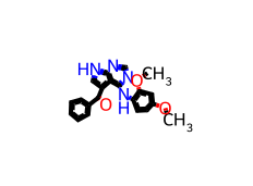 COc1ccc(Nc2ncnc3[nH]cc(C(=O)c4ccccc4)c23)c(OC)c1